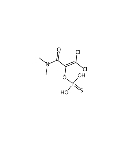 CN(C)C(=O)C(OP(O)(O)=S)=C(Cl)Cl